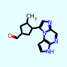 CC1CC(C=O)CC1c1cnc2cnc3[nH]ccc3n12